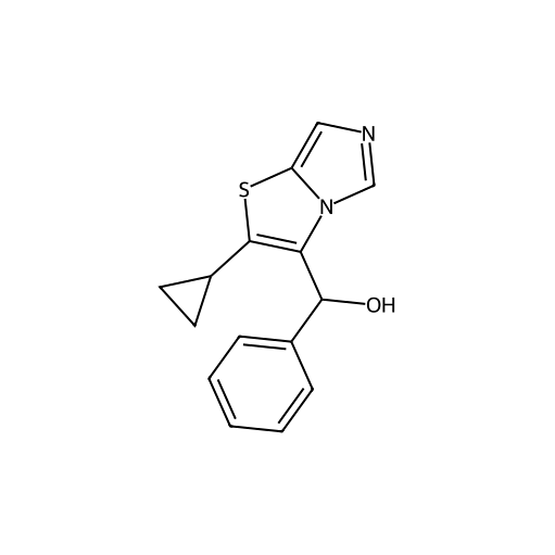 OC(c1ccccc1)c1c(C2CC2)sc2cncn12